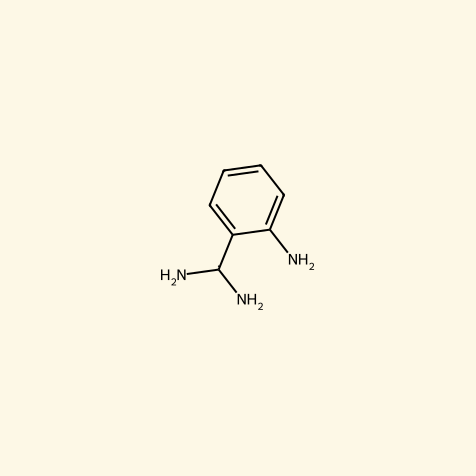 N[C](N)c1ccccc1N